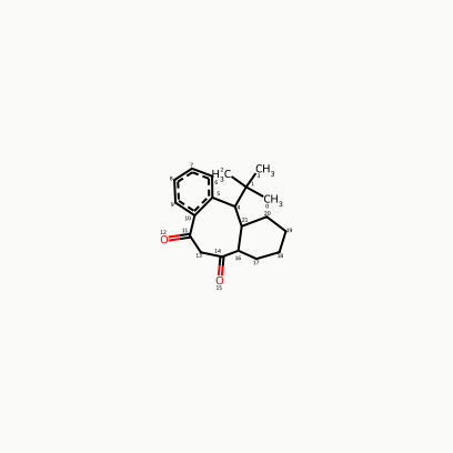 CC(C)(C)C1c2ccccc2C(=O)CC(=O)C2CCCCC21